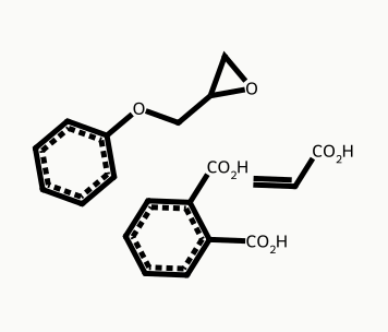 C=CC(=O)O.O=C(O)c1ccccc1C(=O)O.c1ccc(OCC2CO2)cc1